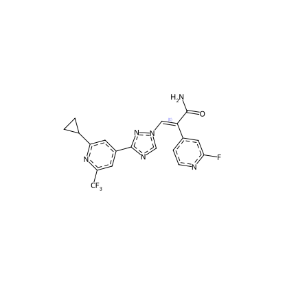 NC(=O)/C(=C/n1cnc(-c2cc(C3CC3)nc(C(F)(F)F)c2)n1)c1ccnc(F)c1